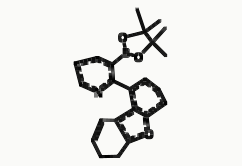 CC1(C)OB(c2cccnc2-c2cccc3oc4c(c23)C=CCC4)OC1(C)C